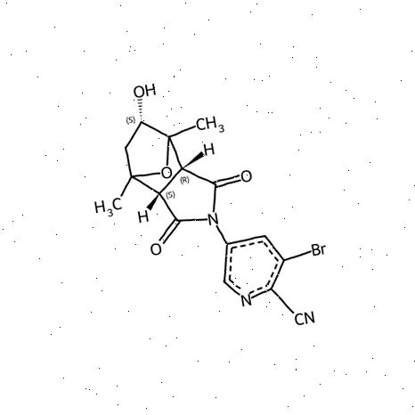 CC12C[C@H](O)C(C)(O1)[C@@H]1C(=O)N(c3cnc(C#N)c(Br)c3)C(=O)[C@@H]12